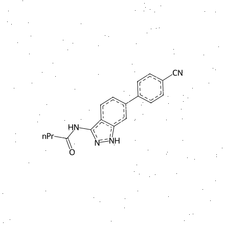 CCCC(=O)Nc1n[nH]c2cc(-c3ccc(C#N)cc3)ccc12